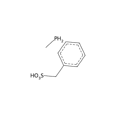 CP.O=S(=O)(O)Cc1ccccc1